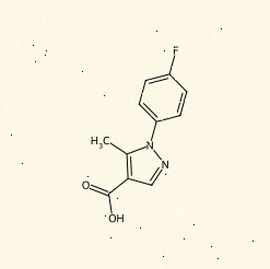 Cc1c(C(=O)O)cnn1-c1ccc(F)cc1